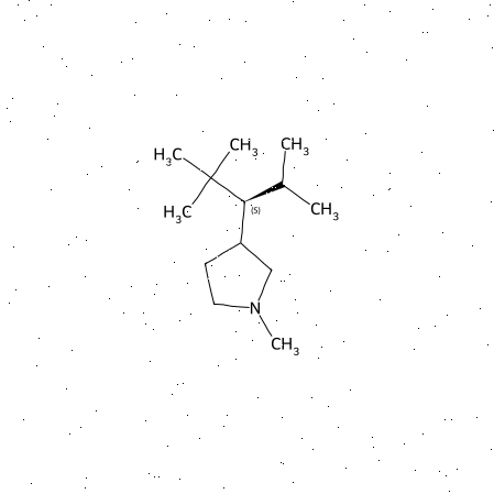 CC(C)[C@@H](C1CCN(C)C1)C(C)(C)C